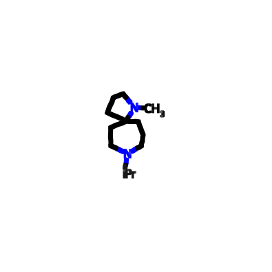 CC(C)N1CCCC2(CCCN2C)CC1